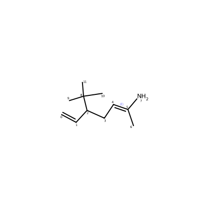 C=CC(C/C=C(\C)N)C(C)(C)C